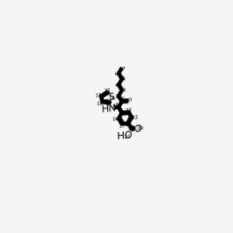 C=C(CCCCCC)C(Nc1cccs1)c1ccc(C(=O)O)cc1